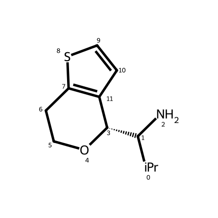 CC(C)C(N)[C@@H]1OCCc2sccc21